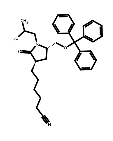 CC(C)CN1C(=O)[C@H](CCCCCC#N)C[C@H]1COC(c1ccccc1)(c1ccccc1)c1ccccc1